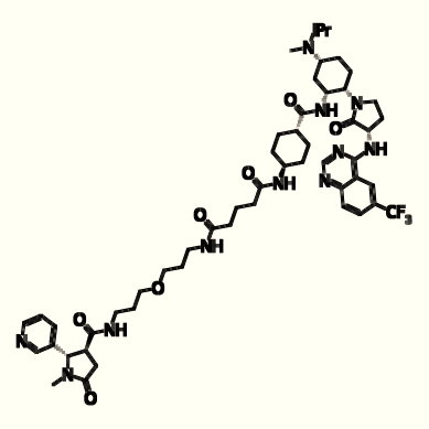 CC(C)N(C)[C@@H]1CC[C@H](N2CC[C@H](Nc3ncnc4ccc(C(F)(F)F)cc34)C2=O)[C@H](NC(=O)[C@H]2CC[C@H](NC(=O)CCCC(=O)NCCCOCCCNC(=O)[C@H]3CC(=O)N(C)[C@@H]3c3cccnc3)CC2)C1